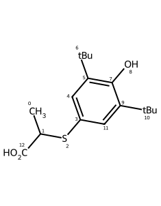 CC(Sc1cc(C(C)(C)C)c(O)c(C(C)(C)C)c1)C(=O)O